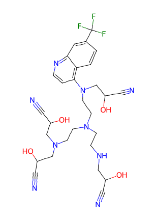 N#CC(O)CNCCN(CCN(CC(O)C#N)CC(O)C#N)CCN(CC(O)C#N)c1ccnc2cc(C(F)(F)F)ccc12